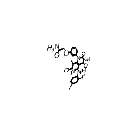 Cc1c(=O)n(C)c(Nc2ccc(I)cc2F)c2c(=O)[nH]c(=O)n(-c3cccc(OCC(N)=O)c3)c12